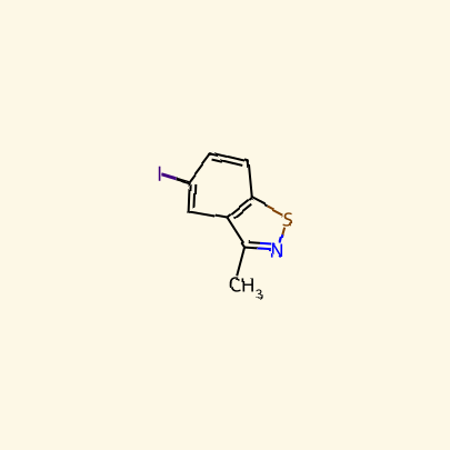 Cc1nsc2ccc(I)cc12